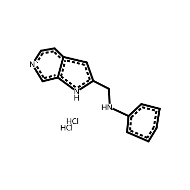 Cl.Cl.c1ccc(NCc2cc3ccncc3[nH]2)cc1